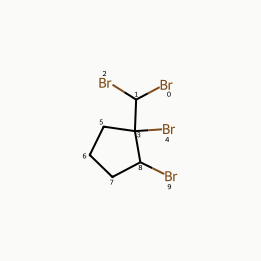 BrC(Br)C1(Br)CCCC1Br